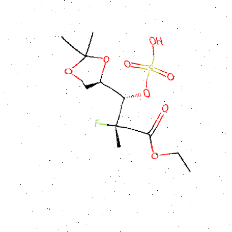 CCOC(=O)[C@](C)(F)[C@@H](OS(=O)(=O)O)[C@H]1COC(C)(C)O1